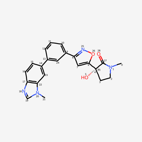 CN1CC[C@@](O)(c2cc(-c3cccc(-c4ccc5ncn(C)c5c4)c3)no2)C1=O